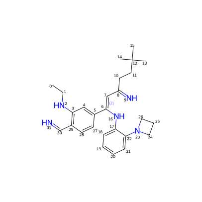 CCNc1cc(/C(=C/C(=N)CCC(C)(C)C)Nc2ccccc2N2CCC2)ccc1C=N